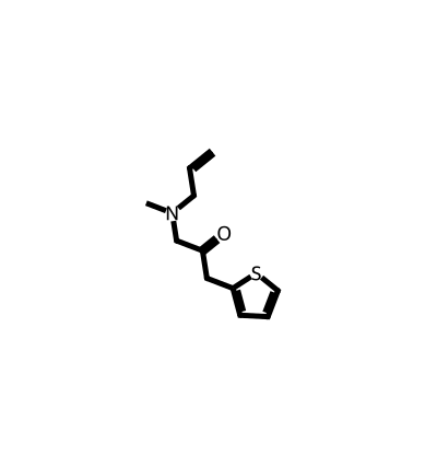 C=CCN(C)CC(=O)Cc1cccs1